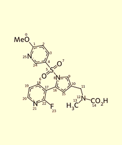 COc1ccc(S(=O)(=O)n2cc(CN(C)C(=O)O)cc2-c2cccnc2F)cn1